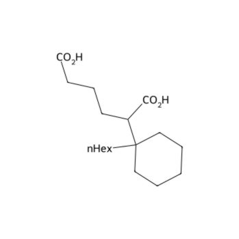 CCCCCCC1(C(CCCC(=O)O)C(=O)O)CCCCC1